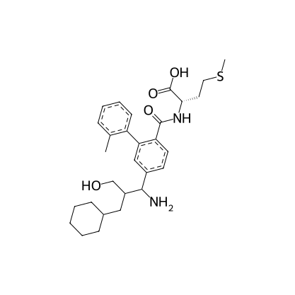 CSCC[C@H](NC(=O)c1ccc(C(N)C(CO)CC2CCCCC2)cc1-c1ccccc1C)C(=O)O